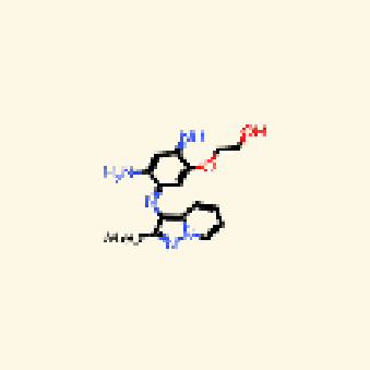 COc1nn2ccccc2c1N=C1C=C(OCCO)C(=N)C=C1N